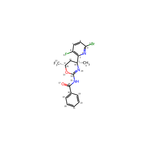 C[C@@]1(c2nc(Br)ccc2F)C[C@@H](C(F)(F)F)OC(NC(=O)c2ccccc2)=N1